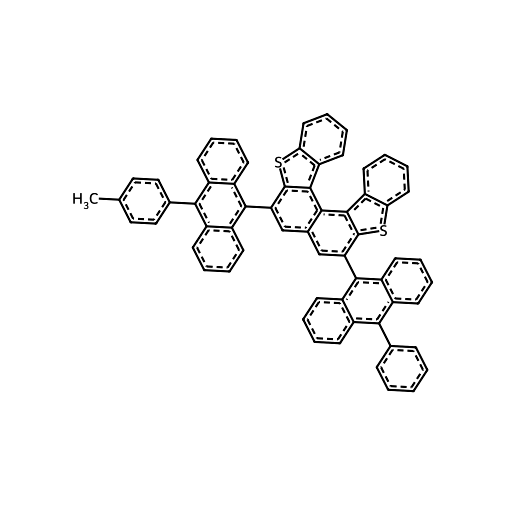 Cc1ccc(-c2c3ccccc3c(-c3cc4cc(-c5c6ccccc6c(-c6ccccc6)c6ccccc56)c5sc6ccccc6c5c4c4c3sc3ccccc34)c3ccccc23)cc1